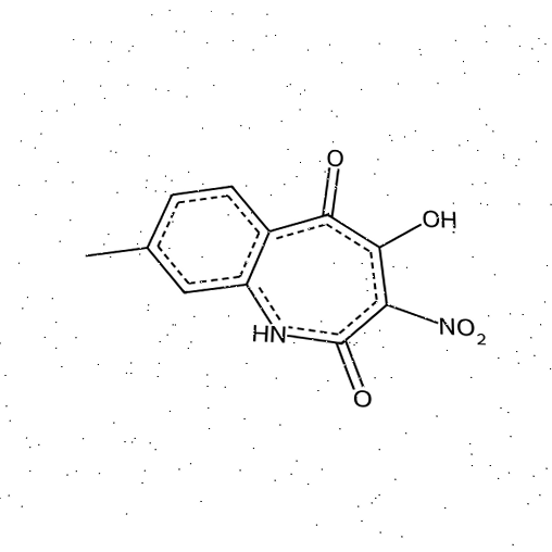 Cc1ccc2c(=O)c(O)c([N+](=O)[O-])c(=O)[nH]c2c1